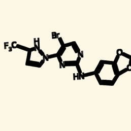 FC(F)(F)C1C=CN(c2nc(Nc3ccc4c(c3)OCO4)ncc2Br)N1